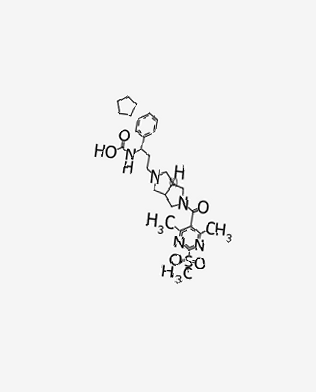 C1CCCC1.Cc1nc(S(C)(=O)=O)nc(C)c1C(=O)N1CC2CN(CCC(NC(=O)O)c3ccccc3)C[C@H]2C1